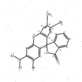 CCN(CC)c1cc2c(cc1Br)C1(OC(=O)c3ccccc31)c1cc(Br)c(C)cc1O2